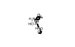 COc1cc2nc(N(C)CCCNC(=O)[C@@H]3CCCO3)nc(N)c2cc1OC.Cl